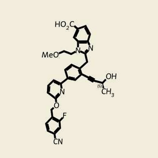 COCCn1c(Cc2ccc(-c3cccc(OCc4ccc(C#N)cc4F)n3)cc2C#C[C@H](C)O)nc2ccc(C(=O)O)cc21